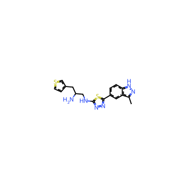 Cc1n[nH]c2ccc(-c3nnc(NCC(N)Cc4ccsc4)s3)cc12